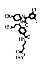 CC(C)(C)CC[C@H](c1ccc(C(=O)NCCCC(=O)OC(C)(C)C)cc1)N1C(=O)C(c2cc(Cl)cc(Cl)c2)=NC12CCC(C(C)(C)C)CC2